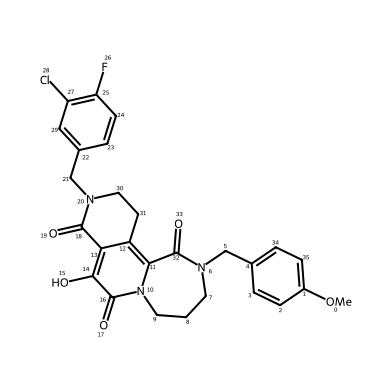 COc1ccc(CN2CCCn3c(c4c(c(O)c3=O)C(=O)N(Cc3ccc(F)c(Cl)c3)CC4)C2=O)cc1